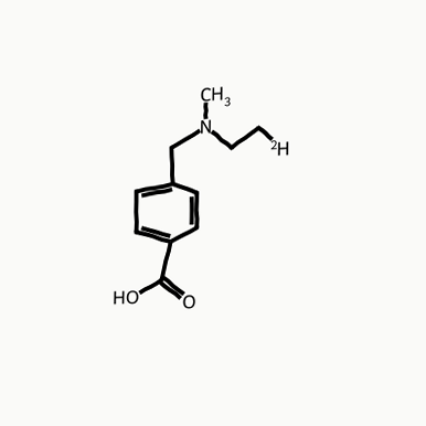 [2H]CCN(C)Cc1ccc(C(=O)O)cc1